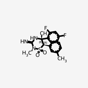 Cc1cccc([C@@H]2[C@@](C)(c3ccc(F)cc3F)NC(=N)N(C)S2(=O)=O)c1